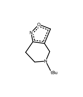 CC(C)(C)N1CCc2nocc2C1